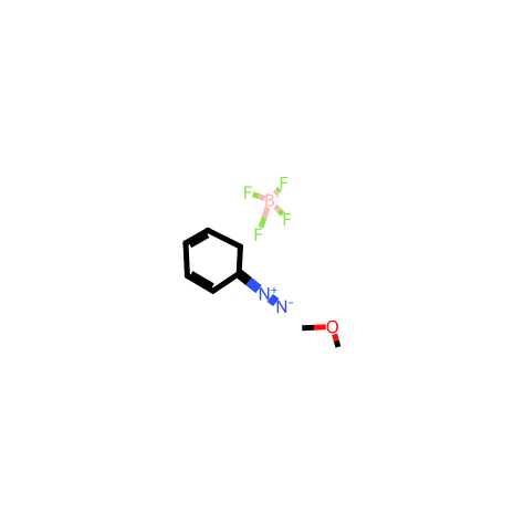 COC.F[B-](F)(F)F.[N-]=[N+]=C1C=CC=CC1